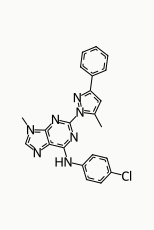 Cc1cc(-c2ccccc2)nn1-c1nc(Nc2ccc(Cl)cc2)c2ncn(C)c2n1